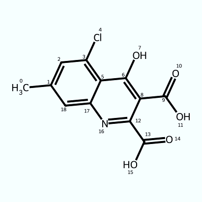 Cc1cc(Cl)c2c(O)c(C(=O)O)c(C(=O)O)nc2c1